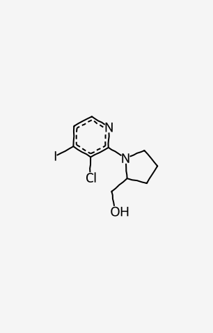 OCC1CCCN1c1nccc(I)c1Cl